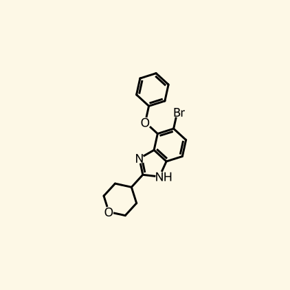 Brc1ccc2[nH]c(C3CCOCC3)nc2c1Oc1ccccc1